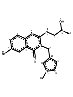 C[C@H](O)CNc1nc2ccc(Br)cc2c(=O)n1Cc1cnn(C)c1